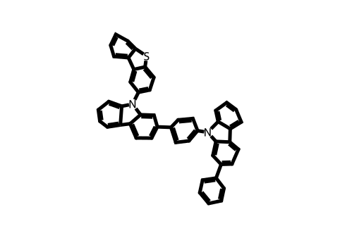 c1ccc(-c2ccc3c4ccccc4n(-c4ccc(-c5ccc6c7ccccc7n(-c7ccc8sc9ccccc9c8c7)c6c5)cc4)c3c2)cc1